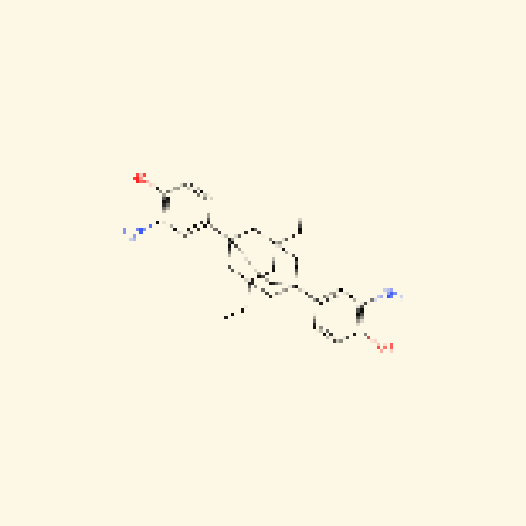 CCC12CC3(CC)CC(c4ccc(O)c(N)c4)(C1)CC(c1ccc(O)c(N)c1)(C2)C3